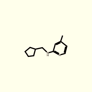 Cc1ccnc(NCC2CCCC2)c1